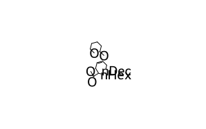 CCCCCCCCCCCC(=CC1OC(=O)C1CCCCCC)OC1CCCCO1